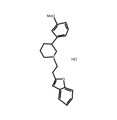 COc1cccc(C2CCCN(CCc3cc4ccccc4o3)C2)c1.Cl